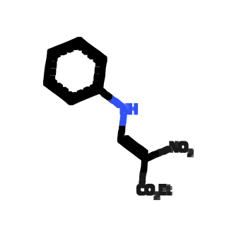 CCOC(=O)C(=CNc1ccccc1)[N+](=O)[O-]